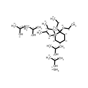 CC(C)O.CC(C)O.CC(C)O.CC(C)O.CCOC1(OCC)CCCC[Si]1(OCC)OCC.[SiH4]